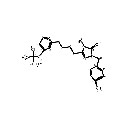 CCCn1c(CCCCc2cccc(OC(C)(C)C(=O)OCC)c2)nn(Cc2ccc(C)cc2)c1=O